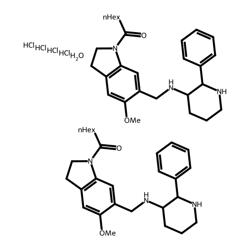 CCCCCCC(=O)N1CCc2cc(OC)c(CNC3CCCNC3c3ccccc3)cc21.CCCCCCC(=O)N1CCc2cc(OC)c(CNC3CCCNC3c3ccccc3)cc21.Cl.Cl.Cl.Cl.O